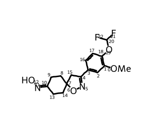 COc1cc(C2=NOC3(CCC(=NO)CC3)C2)ccc1OC(F)F